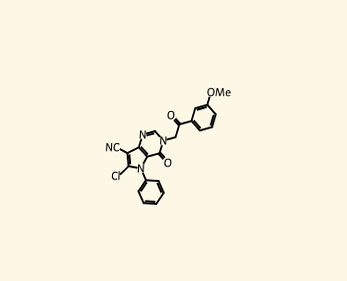 COc1cccc(C(=O)Cn2cnc3c(C#N)c(Cl)n(-c4ccccc4)c3c2=O)c1